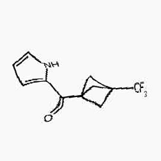 O=C(c1ccc[nH]1)C12CC(C(F)(F)F)(C1)C2